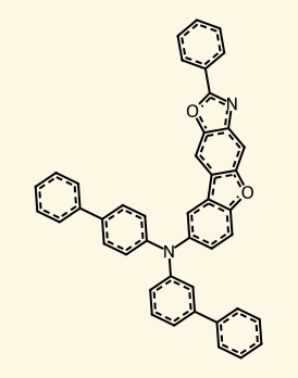 c1ccc(-c2ccc(N(c3cccc(-c4ccccc4)c3)c3ccc4oc5cc6nc(-c7ccccc7)oc6cc5c4c3)cc2)cc1